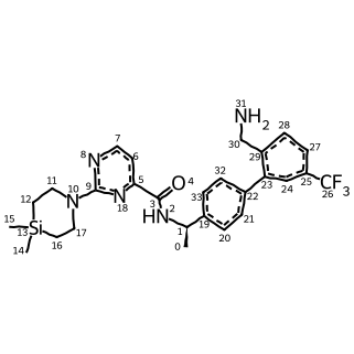 C[C@@H](NC(=O)c1ccnc(N2CC[Si](C)(C)CC2)n1)c1ccc(-c2cc(C(F)(F)F)ccc2CN)cc1